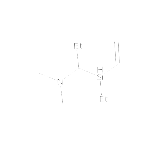 C=C[SiH](CC)C(CC)N(C)C